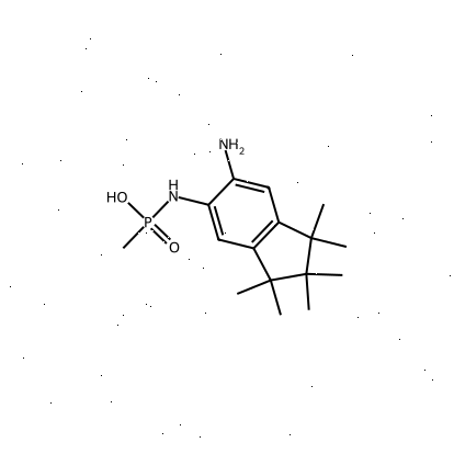 CC1(C)c2cc(N)c(NP(C)(=O)O)cc2C(C)(C)C1(C)C